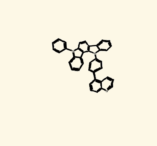 c1ccc(-n2c3ccccc3c3c2ccc2c4ccccc4n(-c4ccc(-c5cccc6ncccc56)cc4)c23)cc1